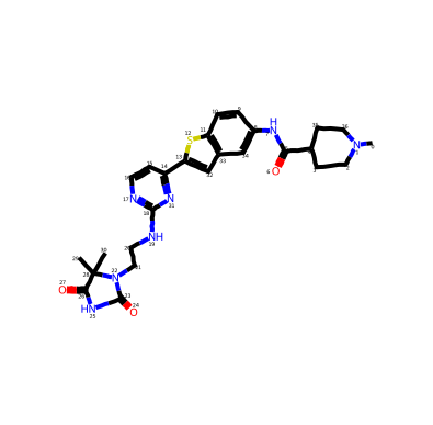 CN1CCC(C(=O)Nc2ccc3sc(-c4ccnc(NCCN5C(=O)NC(=O)C5(C)C)n4)cc3c2)CC1